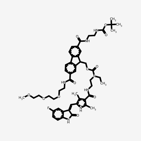 CCN(CCNC(=O)c1c(C)[nH]c(C=C2C(=O)Nc3ccc(F)cc32)c1C)C(=O)OCC1c2cc(C(=O)NCCNC(=O)OC(C)(C)C)ccc2-c2ccc(C(=O)NCCOCCOCCOC)cc21